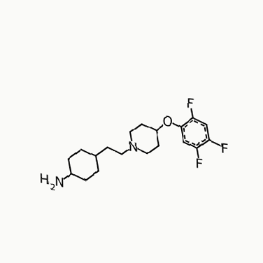 NC1CCC(CCN2CCC(Oc3cc(F)c(F)cc3F)CC2)CC1